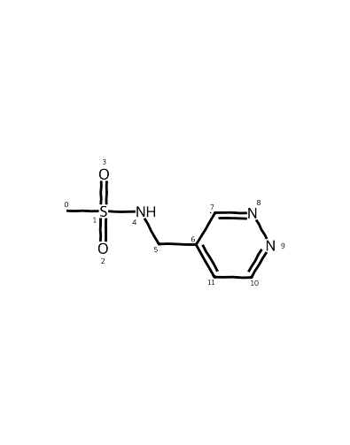 CS(=O)(=O)NCc1[c]nncc1